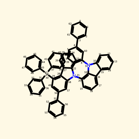 c1ccc(-c2cccc(-n3c4ccccc4c4cccc(-n5c6ccccc6c6c([Si](c7ccccc7)(c7ccccc7)c7ccccc7)cc(-c7ccccc7)cc65)c43)c2)cc1